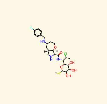 CSC1OC([C@H](NC(=O)[C@H]2NC[C@@H]3CC(NCc4ccc(F)cc4)CCO[C@H]32)[C@H](C)Cl)C(O)C(O)C1O